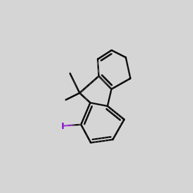 CC1(C)C2=C(CCC=C2)c2cccc(I)c21